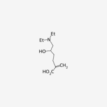 C=C(CCC(O)CN(CC)CC)C(=O)O